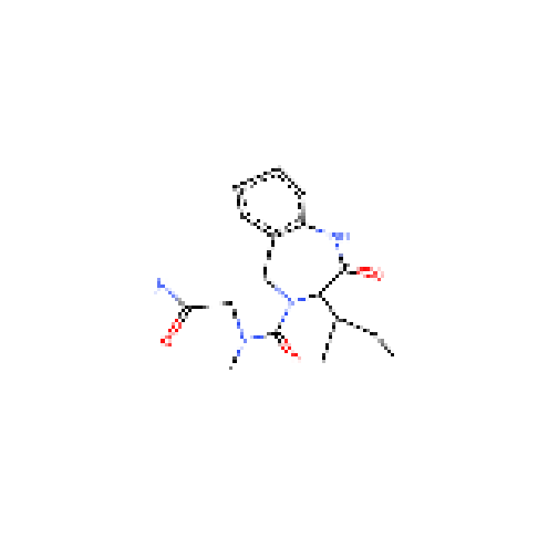 CCC(C)C1C(=O)Nc2ccccc2CN1C(=O)N(C)CC(N)=O